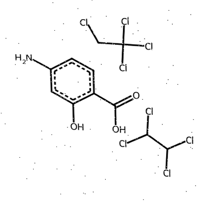 ClC(Cl)C(Cl)Cl.ClCC(Cl)(Cl)Cl.Nc1ccc(C(=O)O)c(O)c1